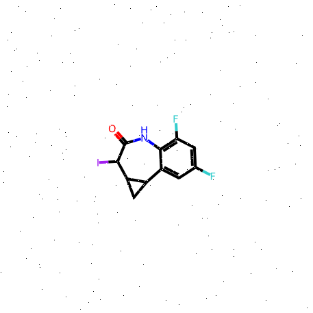 O=C1Nc2c(F)cc(F)cc2C2CC2C1I